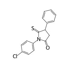 O=C1CC(c2ccccc2)C(=S)N1c1ccc(Cl)cc1